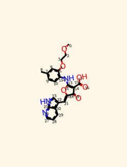 COCCOc1cc(C)ccc1NC1=C(C(=O)O)C(=O)C(=Cc2c[nH]c3ncccc23)O1